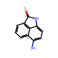 Nc1ccc2c3c(cccc13)C(=O)N2